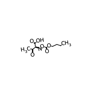 CCCCOC(=O)O/N=C(/C(C)=O)C(=O)O